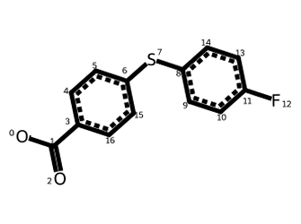 [O]C(=O)c1ccc(Sc2ccc(F)cc2)cc1